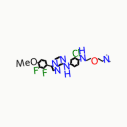 COc1ccc(-c2cnc3c(Nc4ccc(NCCOCCN(C)C)c(Cl)c4)nccn23)c(F)c1F